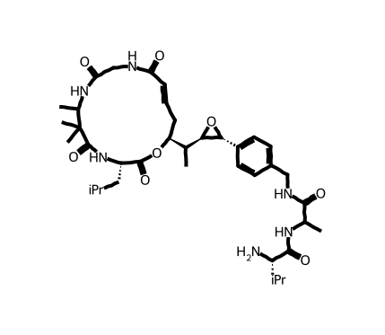 CC(C)C[C@@H]1NC(=O)C(C)(C)C(C)NC(=O)CNC(=O)/C=C/C[C@@H](C(C)[C@H]2O[C@@H]2c2ccc(CNC(=O)C(C)NC(=O)[C@@H](N)C(C)C)cc2)OC1=O